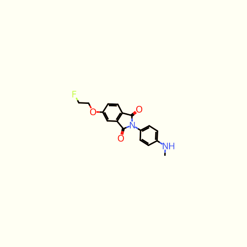 CNc1ccc(N2C(=O)c3ccc(OCCF)cc3C2=O)cc1